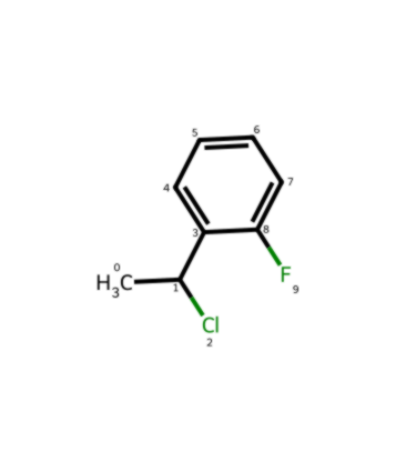 CC(Cl)c1ccccc1F